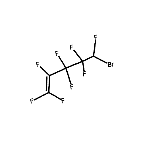 FC(F)=C(F)C(F)(F)C(F)(F)C(F)Br